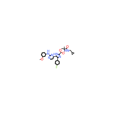 COc1cccc(Nc2nccc(-c3[nH]c(C4OCC(C)(C(=O)NCC5CC5)CO4)nc3-c3ccc(F)cc3)n2)c1